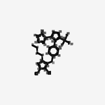 CCCCc1nc(Cl)c(Cl)n1Cc1ccc(-n2c(-c3nnn[nH]3)ccc2C(F)(F)F)cc1